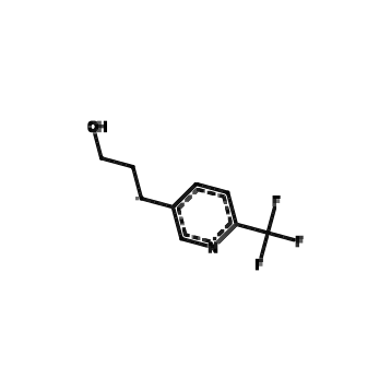 OCC[CH]c1ccc(C(F)(F)F)nc1